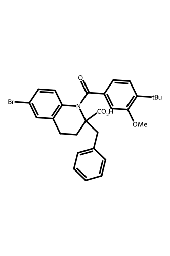 COc1cc(C(=O)N2c3ccc(Br)cc3CCC2(Cc2ccccc2)C(=O)O)ccc1C(C)(C)C